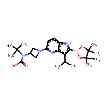 CC(C)c1c(B2OC(C)(C)C(C)(C)O2)[nH]c2ccc(N3CC(N(C(=O)O)C(C)(C)C)C3)nc12